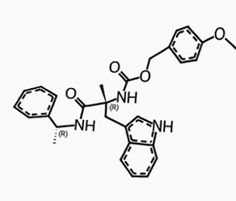 COc1ccc(COC(=O)N[C@](C)(Cc2c[nH]c3ccccc23)C(=O)N[C@H](C)c2ccccc2)cc1